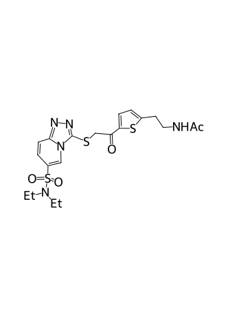 CCN(CC)S(=O)(=O)c1ccc2nnc(SCC(=O)c3ccc(CCNC(C)=O)s3)n2c1